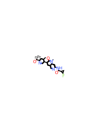 CCCC(=O)c1cc(C)c(-c2cc3cnc(NC(=O)C4CC4F)cc3n(C)c2=O)cn1